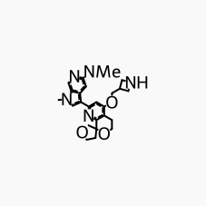 CNc1cc2c(-c3cc(OCC4CNC4)c4c(n3)C3(CCOC3)OCC4)cn(C)c2cn1